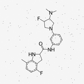 Cc1ccc(F)c2c1NC(C(=O)Nc1cccc(N3CC(F)C(N(C)C)C3)c1)C2